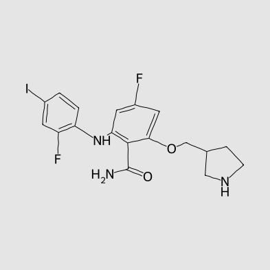 NC(=O)c1c(Nc2ccc(I)cc2F)cc(F)cc1OCC1CCNC1